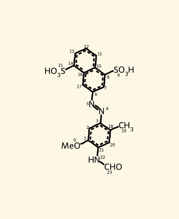 COc1cc(/N=N/c2cc(S(=O)(=O)O)c3cccc(S(=O)(=O)O)c3c2)c(C)cc1NC=O